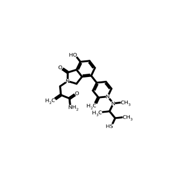 C=C(CN1Cc2c(C3=CC(=C)N(N(C)C(C)C(C)S)C=C3)ccc(O)c2C1=O)C(N)=O